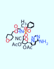 CC(=O)O[C@H]1[C@H](c2ccc3c(N)ncnn23)O[C@](C#N)(CO[P@](=O)(N[C@@H](C)C(=O)OCC2CCOCC2)Oc2ccccc2)[C@H]1OC(C)=O